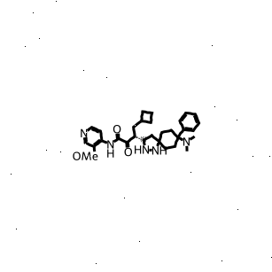 COc1cnccc1NC(=O)C(=O)C(CC1CCC1)[C@@H]1CC2(CCC(c3ccccc3)(N(C)C)CC2)NN1